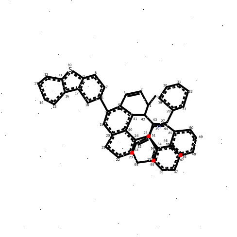 CC1C=Cc2c(-c3ccc4sc5ccccc5c4c3)cc3cccc(C(CCc4ccccc4)c4ccccc4)c3c2C1/C(=C/c1ccccc1)C1=CCCC=C1